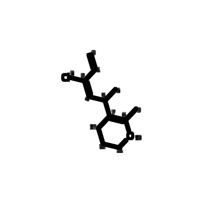 C=C/C(Cl)=C\C(C)C1=C(C)OCCC1